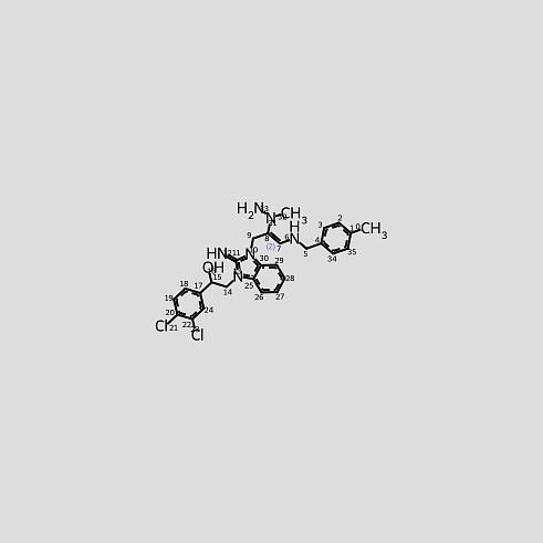 Cc1ccc(CN/C=C(/Cn2c(=N)n(CC(O)c3ccc(Cl)c(Cl)c3)c3ccccc32)N(C)N)cc1